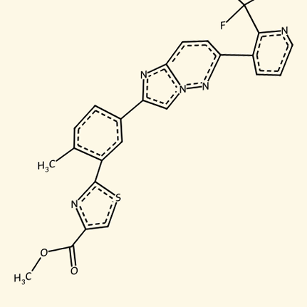 COC(=O)c1csc(-c2cc(-c3cn4nc(-c5cccnc5C(F)(F)F)ccc4n3)ccc2C)n1